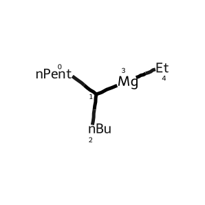 CCCCC[CH](CCCC)[Mg][CH2]C